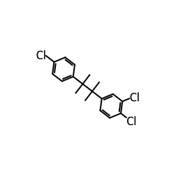 CC(C)(c1ccc(Cl)cc1)C(C)(C)c1ccc(Cl)c(Cl)c1